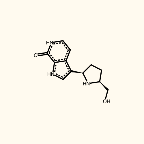 O=c1[nH]ccc2c([C@H]3CC[C@@H](CO)N3)c[nH]c12